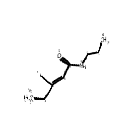 CCCNC(=O)C=C(I)CC